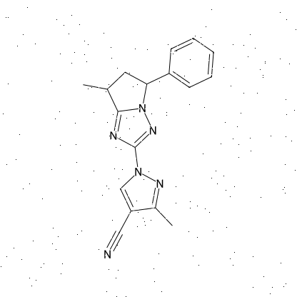 Cc1nn(-c2nc3n(n2)C(c2ccccc2)CC3C)cc1C#N